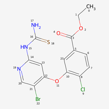 CCOC(=O)c1ccc(Cl)c(Oc2cc(NC(N)=S)ncc2Br)c1